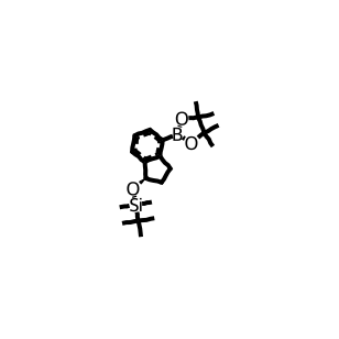 CC1(C)OB(c2cccc3c2CC[C@H]3O[Si](C)(C)C(C)(C)C)OC1(C)C